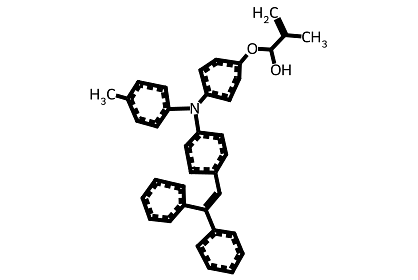 C=C(C)C(O)Oc1ccc(N(c2ccc(C)cc2)c2ccc(C=C(c3ccccc3)c3ccccc3)cc2)cc1